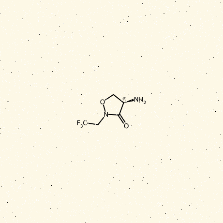 N[C@@H]1CON(CC(F)(F)F)C1=O